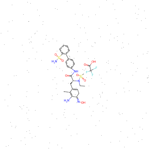 CCN([C@@H](CC1=CCC(=NO)C(N)=C1C)C(=O)Nc1ccc(-c2ccccc2S(N)(=O)=O)cc1)S(C)(=O)=O.O=C(O)C(F)(F)F